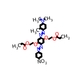 C=CC(=O)OCCOc1cc(/N=N/c2ccc(N(C)C)cc2C)c(OCCOC(=O)C=C)cc1/N=N/c1ccc([N+](=O)[O-])cc1